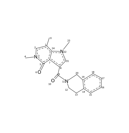 Cc1cn(C)c(=O)c2c(C(=O)N3CCc4ccccc4C3)cn(C)c12